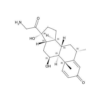 C[C@H]1C[C@H]2[C@@H]3CC[C@](O)(C(=O)CN)[C@H]3C[C@H](O)[C@@H]2[C@@]2(C)C=CC(=O)C=C12